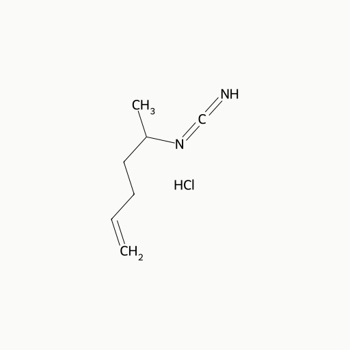 C=CCCC(C)N=C=N.Cl